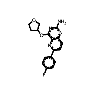 Nc1nc(OC2CCOC2)c2nc(-c3ccc(F)cc3)ccc2n1